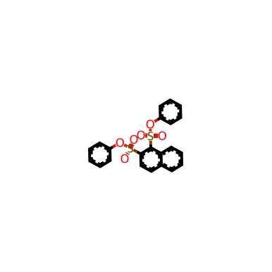 O=S(=O)(Oc1ccccc1)c1ccc2ccccc2c1S(=O)(=O)Oc1ccccc1